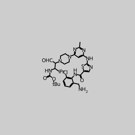 Cc1nc(Nc2ncc(C(=O)Nc3c(Cl)cccc3CN)s2)cc(N2CCN(C(C=O)C(NC(=O)OC(C)(C)C)C(C)C)CC2)n1